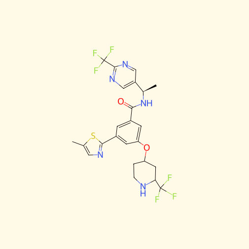 Cc1cnc(-c2cc(OC3CCNC(C(F)(F)F)C3)cc(C(=O)N[C@H](C)c3cnc(C(F)(F)F)nc3)c2)s1